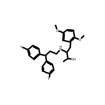 COc1ccc(OC)c(CC(NCCC(c2ccc(F)cc2)c2ccc(F)cc2)C(C)O)c1